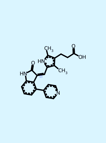 Cc1[nH]c(/C=C2\C(=O)Nc3cccc(-c4ccncc4)c32)c(C)c1CCC(=O)O